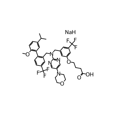 COc1ccc(C(C)C)cc1-c1ccc(C(F)(F)F)cc1CN(Cc1cc(OCCCC(=O)O)cc(C(F)(F)F)c1)c1ncc(N2CCOCC2)cn1.[NaH]